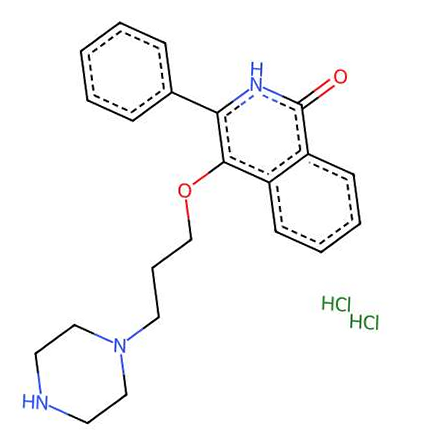 Cl.Cl.O=c1[nH]c(-c2ccccc2)c(OCCCN2CCNCC2)c2ccccc12